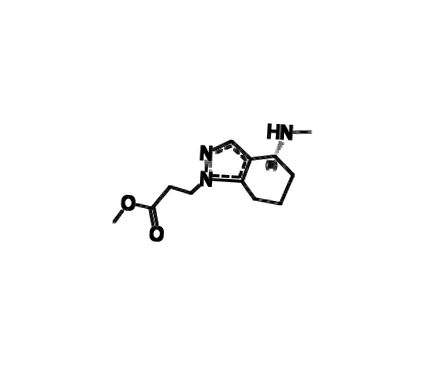 CN[C@@H]1CCCc2c1cnn2CCC(=O)OC